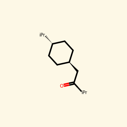 CC(C)C(=O)C[C@H]1CC[C@H](C(C)C)CC1